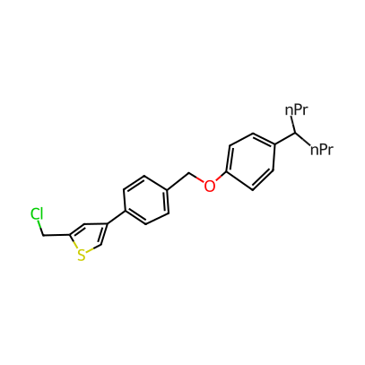 CCCC(CCC)c1ccc(OCc2ccc(-c3csc(CCl)c3)cc2)cc1